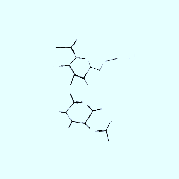 CCC(CC)OC1C(C(=O)O)OC(OC2C(O)C(COS(=O)(=O)O)OC(C(CC)CC)C2NC(C)=O)C(O)C1O